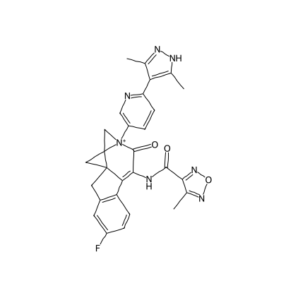 Cc1nonc1C(=O)NC1=C2c3ccc(F)cc3CC23CC32C[N+]2(c2ccc(-c3c(C)n[nH]c3C)nc2)C1=O